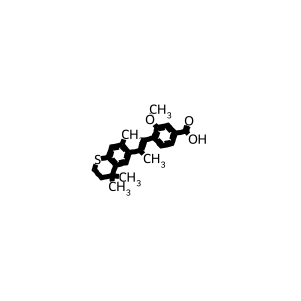 COc1cc(C(=O)O)ccc1C=C(C)c1cc2c(cc1C)SCCC2(C)C